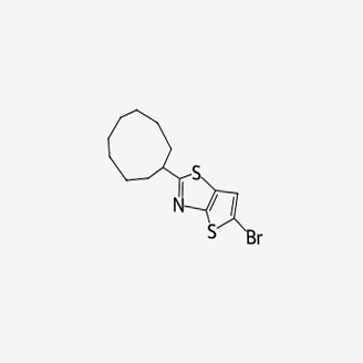 Brc1cc2sc(C3CCCCCCCC3)nc2s1